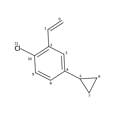 C=[C]c1cc(C2CC2)ccc1Cl